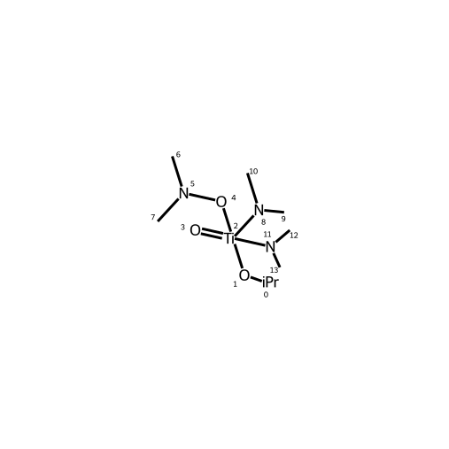 CC(C)[O][Ti](=[O])([O]N(C)C)([N](C)C)[N](C)C